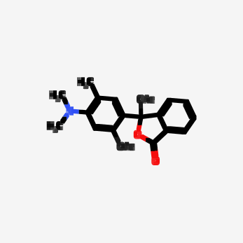 CC(=O)Oc1cc(N(C)C)c(C)cc1C1(OC(C)=O)OC(=O)c2ccccc21